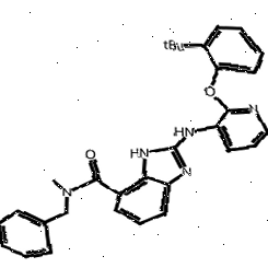 CN(Cc1ccccc1)C(=O)c1cccc2nc(Nc3cccnc3Oc3ccccc3C(C)(C)C)[nH]c12